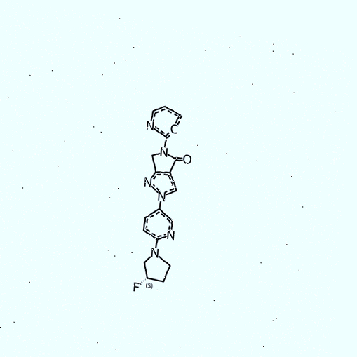 O=C1c2cn(-c3ccc(N4CC[C@H](F)C4)nc3)nc2CN1c1ccccn1